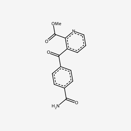 COC(=O)c1ncccc1C(=O)c1ccc(C(N)=O)cc1